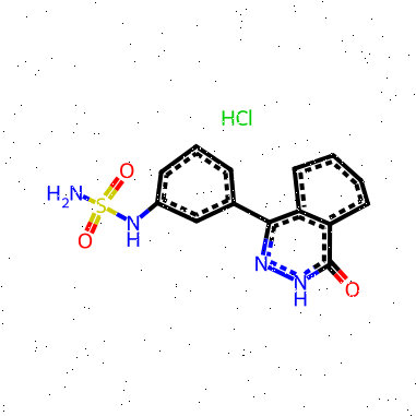 Cl.NS(=O)(=O)Nc1cccc(-c2n[nH]c(=O)c3ccccc23)c1